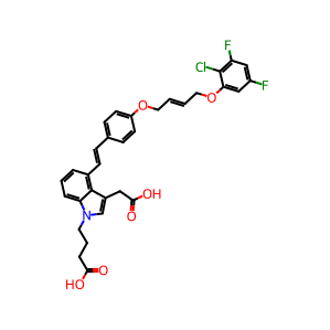 O=C(O)CCCn1cc(CC(=O)O)c2c(/C=C/c3ccc(OC/C=C/COc4cc(F)cc(F)c4Cl)cc3)cccc21